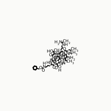 C=C(N)NCCC[C@@H](NC(=O)[C@H](CC(C)C)NC(=O)[C@@H](N)[C@H](O)C(C)C)C(=O)N[C@H](C(=O)N[C@H](C(=O)NCC(=O)N[C@@H](CCCNC(=O)OCc1ccccc1)C(=O)N[C@@H](CO)C(=O)O)[C@H](C)O)[C@@H](C)CC